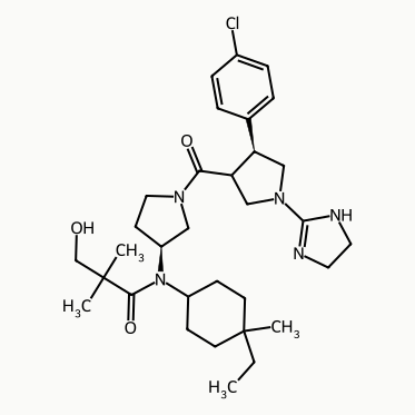 CCC1(C)CCC(N(C(=O)C(C)(C)CO)[C@H]2CCN(C(=O)C3CN(C4=NCCN4)C[C@@H]3c3ccc(Cl)cc3)C2)CC1